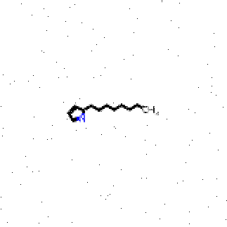 CCCCCCCC[C]1C=CC=N1